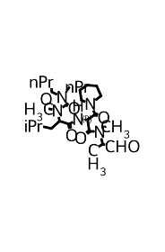 CCCC(=O)N(CCC)C(=O)N(C)C(CC(C)C)C(=O)N[C@H](C(=O)N1CCCCC1)C(=O)N(C)C(C)C=O